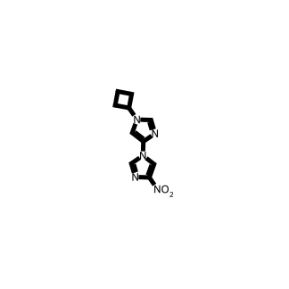 O=[N+]([O-])c1cn(-c2cn(C3CCC3)cn2)cn1